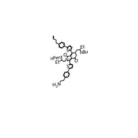 C=CCCc1ccc(-c2ccc(C3=C4C(=O)N(CC(CC)CCCCC)C(c5ccc(-c6ccc(CCN)cc6)s5)=C4C(=O)CC3CC(CC)CCCC)s2)cc1